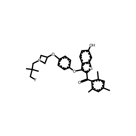 Cc1cc(C)c(C(=O)c2sc3cc(O)ccc3c2Oc2ccc(OC3CN(CC(C)(C)CF)C3)cc2)c(C)c1